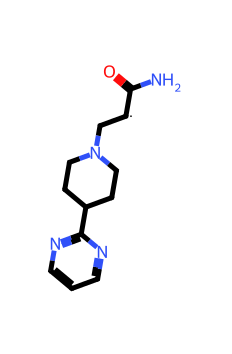 NC(=O)[CH]CN1CCC(c2ncccn2)CC1